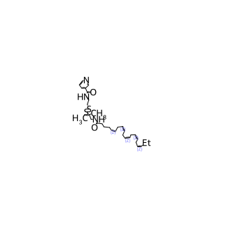 CC/C=C\C/C=C\C/C=C\C/C=C\C/C=C\CCCC(=O)NCC(C)(C)SSCCNC(=O)c1cccnc1